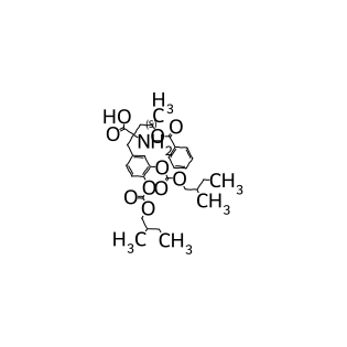 CCC(C)COC(=O)Oc1ccc(CC(N)(C[C@H](C)OC(=O)c2ccccc2)C(=O)O)cc1OC(=O)OCC(C)CC